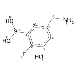 Cl.NCc1ccc(F)c(B(O)O)c1